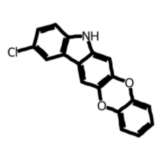 Clc1ccc2[nH]c3cc4c(cc3c2c1)Oc1ccccc1O4